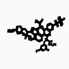 COc1ccc(CN(c2nn(CC(F)F)c3c(-n4c([C@H](Cc5cc(F)cc(F)c5)NC(=O)O)nc5cc(C(C)(C)S(C)(=O)=O)ccc5c4=O)ccc(Cl)c23)S(C)(=O)=O)cc1